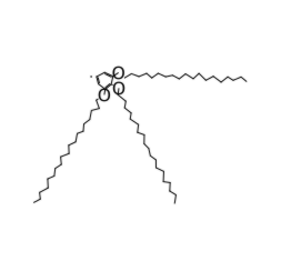 CCCCCCCCCCCCCCCCCCCOc1c[c]cc(OCCCCCCCCCCCCCCCCCCC)c1OCCCCCCCCCCCCCCCCCCC